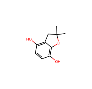 CC1(C)Cc2c(O)ccc(O)c2O1